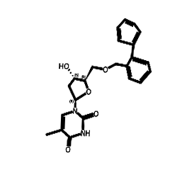 Cc1cn([C@H]2C[C@H](O)[C@@H](COCc3ccccc3-c3ccccc3)O2)c(=O)[nH]c1=O